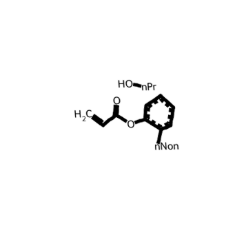 C=CC(=O)Oc1ccccc1CCCCCCCCC.CCCO